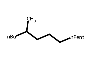 CC[CH]CCCCCC(C)CCCC